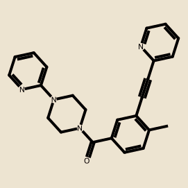 Cc1ccc(C(=O)N2CCN(c3ccccn3)CC2)cc1C#Cc1ccccn1